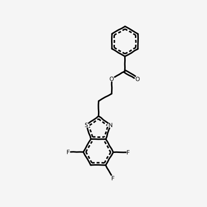 O=C(OCCc1nc2c(F)c(F)cc(F)c2s1)c1ccccc1